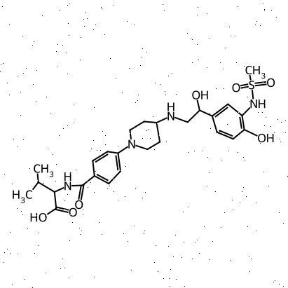 CC(C)C(NC(=O)c1ccc(N2CCC(NCC(O)c3ccc(O)c(NS(C)(=O)=O)c3)CC2)cc1)C(=O)O